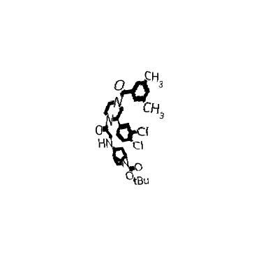 Cc1cc(C)cc(C(=O)N2CCN(C(=O)CNC3CC4CC3CN4C(=O)OC(C)(C)C)[C@H](c3ccc(Cl)c(Cl)c3)C2)c1